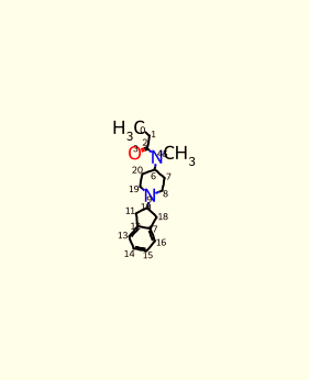 CCC(=O)N(C)C1CCN(C2Cc3ccccc3C2)CC1